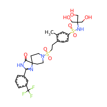 Cc1cc(S(=O)(=O)NC(CO)(CO)CO)ccc1CCS(=O)(=O)N1CCC2(CC1)N=C(c1cccc(C(F)(F)F)c1)NC2=O